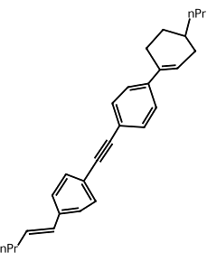 CCC/C=C/c1ccc(C#Cc2ccc(C3=CCC(CCC)CC3)cc2)cc1